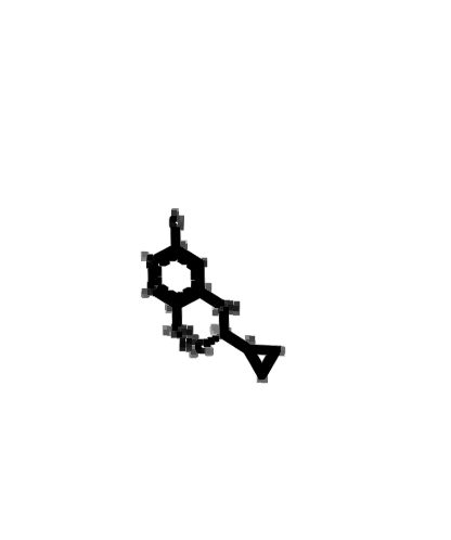 C[C@H](Nc1cc(Cl)nnc1N)C1CC1